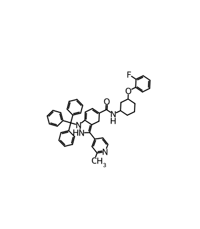 Cc1cc(C2=C3CC(C(=O)NC4CCCC(Oc5ccccc5F)C4)=CC=C3N(C(c3ccccc3)(c3ccccc3)c3ccccc3)N2)ccn1